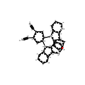 N#Cc1cc(-n2c3ccccc3c3ncccc32)c(-n2c3ccccc3c3ncccc32)cc1C#N